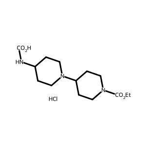 CCOC(=O)N1CCC(N2CCC(NC(=O)O)CC2)CC1.Cl